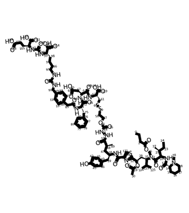 CCCC(=O)OCN(C(=O)C(NC(=O)[C@H]1CCCCN1C)[C@@H](C)CC)[C@H](C[C@@H](OC(C)=O)c1nc(C(=O)N[C@@H](Cc2ccc(O)cc2)C[C@H](C)C(=O)NNC(=O)OCCSSC[C@H](NC(=O)[C@H](CC(=O)O)NC(=O)[C@H](Cc2ccccc2)NC(=O)Cc2ccc(CNC(=O)NCCCC[C@H](NC(=O)N[C@@H](CCC(=O)O)C(=O)O)C(=O)O)cc2)C(=O)O)cs1)C(C)C